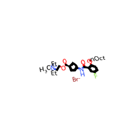 CCCCCCCCOc1ccc(F)cc1C(=O)Nc1ccc(C(=O)OCC[N+](C)(CC)CC)cc1.[Br-]